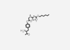 CCCCCCOC(=O)/N=C(\N)N(C)CC(=O)Oc1ccc(CC(N)C(C)=O)cc1